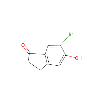 O=C1CCc2cc(O)c(Br)cc21